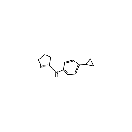 c1cc(C2CC2)ccc1NC1=NCCC1